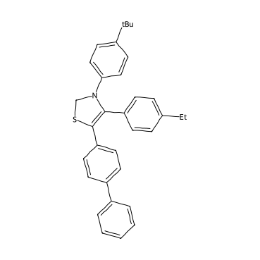 CCc1ccc(C2=C(c3ccc(-c4ccccc4)cc3)SCN2c2ccc(C(C)(C)C)cc2)cc1